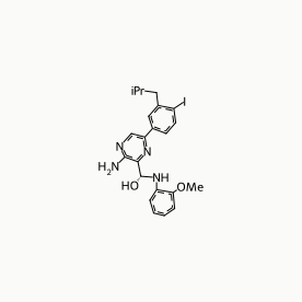 COc1ccccc1N[C@H](O)c1nc(-c2ccc(I)c(CC(C)C)c2)cnc1N